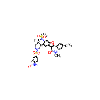 CNC(=O)c1c(-c2ccc(C)cc2)oc2cc(N(C)S(C)(=O)=O)c([C@@H]3CCCN(S(=O)(=O)c4ccc5c(c4)CC(=O)N5)C3)cc12